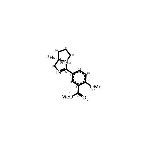 COC(=O)c1cc(C2=NC[C@H]3CCCN23)ccc1OC